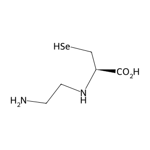 NCCN[C@@H](C[SeH])C(=O)O